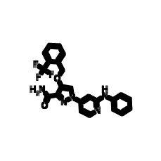 NC(=O)c1nn(-c2ccnc(Nc3ccccc3)c2)cc1OCc1ccccc1C(F)(F)F